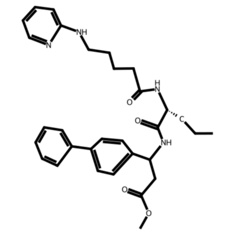 CCC[C@@H](NC(=O)CCCCNc1ccccn1)C(=O)NC(CC(=O)OC)c1ccc(-c2ccccc2)cc1